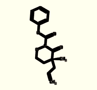 C=CC[C@]1(C)CCON(C(=O)Oc2ccccc2)C1=O